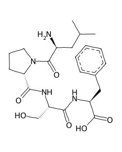 CC(C)C[C@H](N)C(=O)N1CCC[C@H]1C(=O)N[C@@H](CO)C(=O)N[C@@H](Cc1ccccc1)C(=O)O